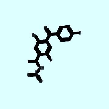 CC(N[SH](=O)=O)c1cc(Br)c(C(=O)c2ccc(F)cc2)cc1F